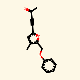 CC(=O)C#Cc1cc(C)c(COc2ccccc2)o1